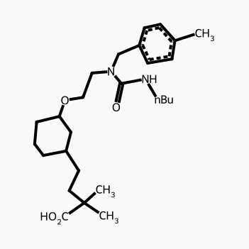 CCCCNC(=O)N(CCOC1CCCC(CCC(C)(C)C(=O)O)C1)Cc1ccc(C)cc1